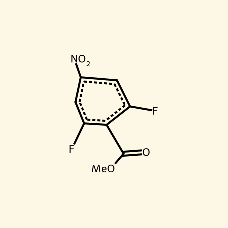 COC(=O)c1c(F)cc([N+](=O)[O-])cc1F